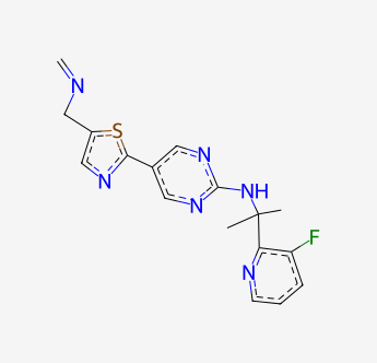 C=NCc1cnc(-c2cnc(NC(C)(C)c3ncccc3F)nc2)s1